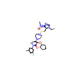 CCn1cnc([NH+](C)[O-])c1CSN1CCN(c2cnn(-c3cc(C)cc(F)c3)c(=O)c2OC2CCCC2)CC1